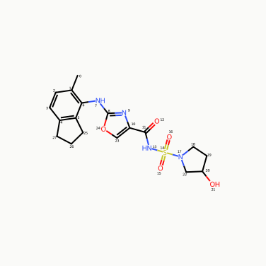 Cc1ccc2c(c1Nc1nc(C(=O)NS(=O)(=O)N3CCC(O)C3)co1)CCC2